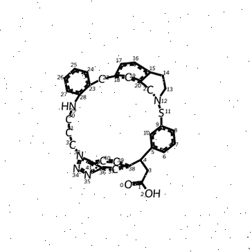 O=C(O)CC1c2cccc(c2)SN2CCc3ccc(cc3C2)Cc2ccccc2NCCCn2nnc3cc1ccc32